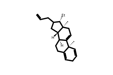 C=CCC1C[C@H]2[C@@H]3CCC4=CCC=C[C@]4(C)C3=CC[C@]2(C)[C@H]1CC